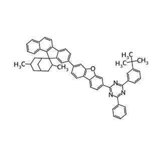 CC1CC2CC(C)C3(c4cc(-c5ccc6c(c5)oc5cc(-c7nc(-c8ccccc8)nc(-c8cccc(C(C)(C)C)c8)n7)ccc56)ccc4-c4ccc5ccccc5c43)C(C1)C2